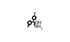 NC[C@H](O)[C@H](c1ccc(F)cc1)c1cccc(F)c1